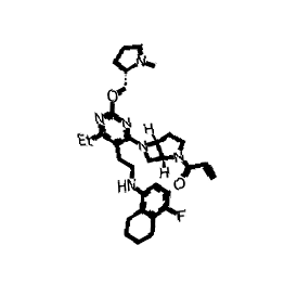 C=CC(=O)N1CC[C@@H]2[C@H]1CN2c1nc(OC[C@@H]2CCCN2C)nc(CC)c1CCNc1ccc(F)c2c1CCCC2